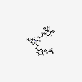 C=NN(CCc1cccc(OCC2CC2)c1)/C(=C\N)CCCCn1ccc(=O)[nH]c1=O